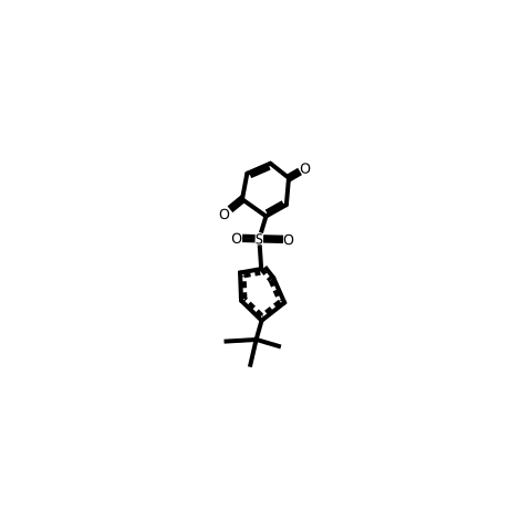 CC(C)(C)c1ccc(S(=O)(=O)C2=CC(=O)C=CC2=O)cc1